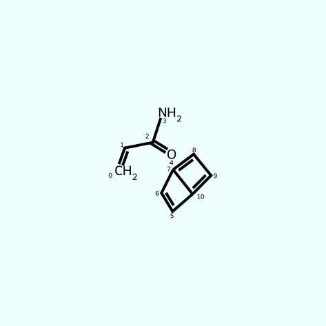 C=CC(N)=O.c1cc2ccc1-2